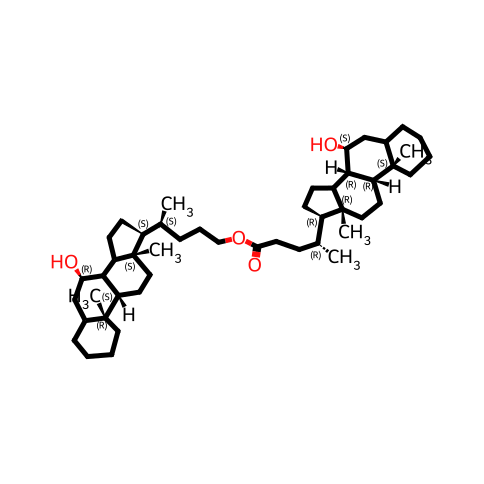 C[C@H](CCC(=O)OCCC[C@H](C)[C@@H]1CCC2C3[C@H](O)CC4CCCC[C@@]4(C)[C@H]3CC[C@]21C)[C@H]1CCC2[C@H]3[C@@H](CC[C@@]21C)[C@@]1(C)CCCCC1C[C@@H]3O